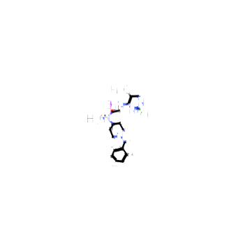 Cc1cnc(Cl)nc1NCC(=O)N(C)C1CCN(Cc2ccccc2)CC1